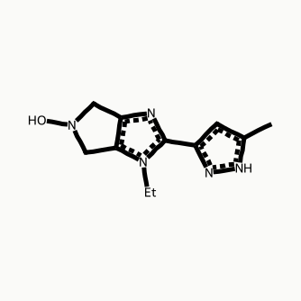 CCn1c(-c2cc(C)[nH]n2)nc2c1CN(O)C2